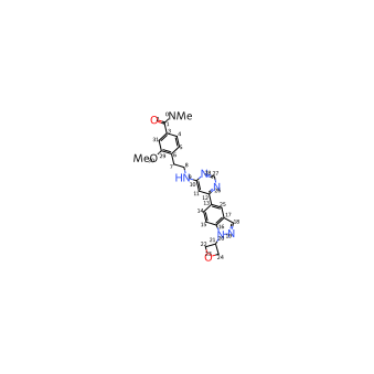 CNC(=O)c1ccc(CCNc2cc(-c3ccc4c(cnn4C4COC4)c3)ncn2)c(OC)c1